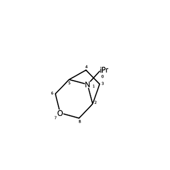 CC(C)N1C2CCC1COC2